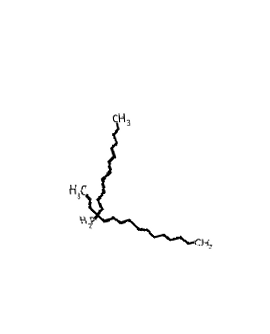 CCCCCCCCCCCCC(P)(CCC)CCCCCCCCCCCC